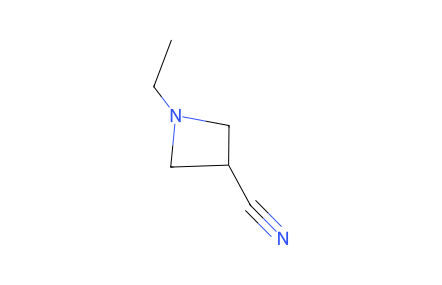 CCN1CC(C#N)C1